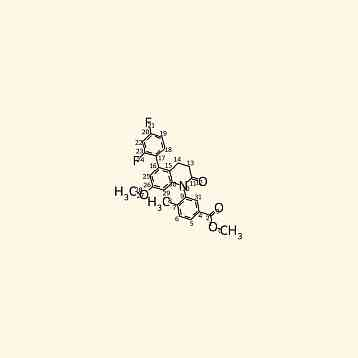 COC(=O)c1ccc(C)c(N2C(=O)CCc3c(-c4ccc(F)cc4F)cc(OC)cc32)c1